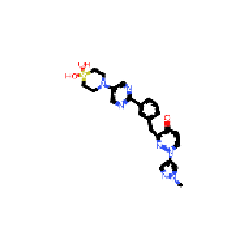 Cn1cc(-n2ccc(=O)c(Cc3cccc(-c4ncc(N5CCS(O)(O)CC5)cn4)c3)n2)cn1